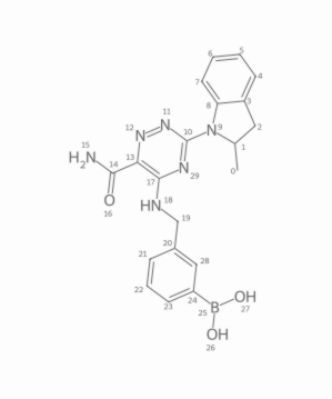 CC1Cc2ccccc2N1c1nnc(C(N)=O)c(NCc2cccc(B(O)O)c2)n1